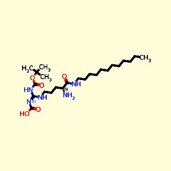 CCCCCCCCCCCCNC(=O)[C@@H](N)CCCN/C(=N\C(=O)O)NC(=O)OC(C)(C)C